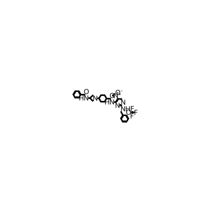 O=C(NC1CN(C2CCC(CNc3nc(NCc4ccccc4OC(F)(F)F)ncc3[N+](=O)[O-])CC2)C1)c1ccccc1